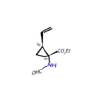 C=C[C@@H]1C[C@]1(NC=O)C(=O)OCC